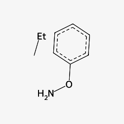 CCC.NOc1ccccc1